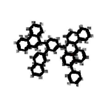 c1ccc(-c2ccc(N(c3ccc(-c4cc5ccccc5c5ccccc45)c(-c4ccc5ccccc5c4)c3)c3ccc4ccccc4c3-c3ccccc3)cc2)cc1